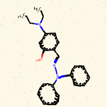 CCN(CC)c1ccc(/C=N/N(c2ccccc2)c2ccccc2)c(O)c1